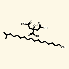 CC(C)CCCCCCCCCCCCCCCO.O=C(O)CC(O)(CC(=O)O)C(=O)O